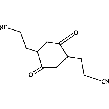 N#CCCC1CC(=O)C(CCC#N)CC1=O